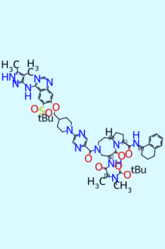 Cc1[nH]nc(Nc2ncnc3cc(OCC4CCN(c5cnc(C(=O)N6CC[C@H]7CC[C@@H](C(=O)N[C@@H]8CCCc9ccccc98)N7C(=O)[C@@H](NC(=O)[C@H](C)N(C)C(=O)OC(C)(C)C)C6)cn5)CC4)c(S(=O)(=O)C(C)(C)C)cc23)c1C